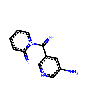 N=C(c1cncc(N)c1)n1ccccc1=N